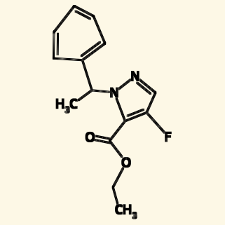 CCOC(=O)c1c(F)cnn1C(C)c1ccccc1